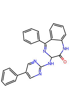 O=C1Nc2ccccc2C(c2ccccc2)=NC1Nc1ncc(-c2ccccc2)cn1